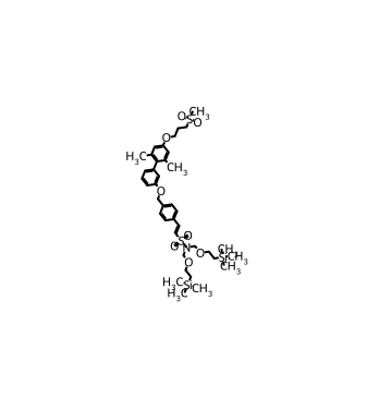 Cc1cc(OCCCS(C)(=O)=O)cc(C)c1-c1cccc(OCc2ccc(/C=C/S(=O)(=O)N(COCC[Si](C)(C)C)COCC[Si](C)(C)C)cc2)c1